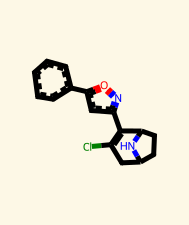 ClC1=C(c2cc(-c3ccccc3)on2)C2CCC(C1)N2